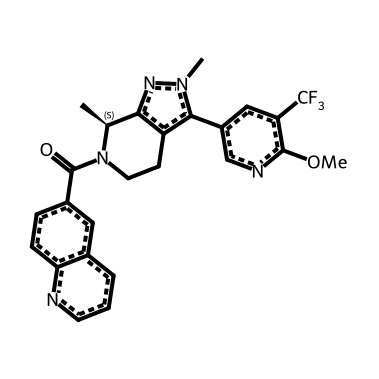 COc1ncc(-c2c3c(nn2C)[C@H](C)N(C(=O)c2ccc4ncccc4c2)CC3)cc1C(F)(F)F